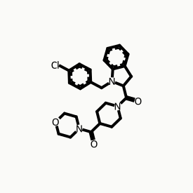 O=C(C1CCN(C(=O)C2Cc3ccccc3N2Cc2ccc(Cl)cc2)CC1)N1CCOCC1